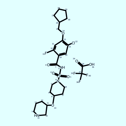 O=C(NS(=O)(=O)N1CCC(OC2CCCNC2)CC1)c1cc(Cl)c(OCC2CCCC2)cc1F.O=C(O)C(F)(F)F